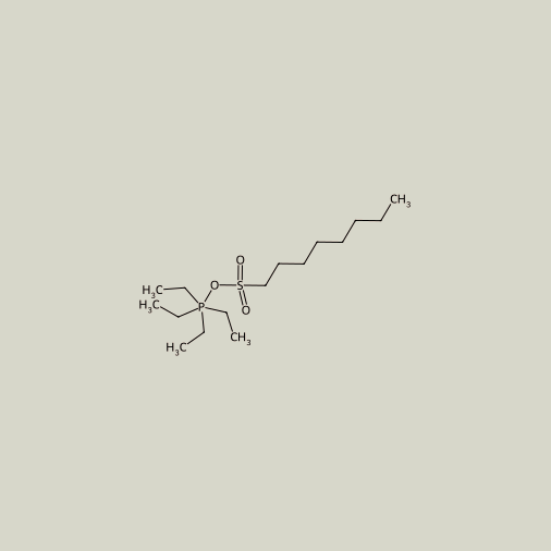 CCCCCCCCS(=O)(=O)OP(CC)(CC)(CC)CC